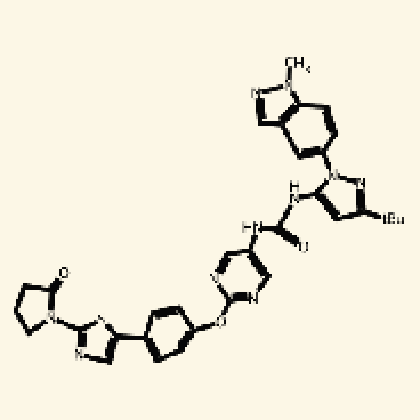 Cn1ncc2cc(-n3nc(C(C)(C)C)cc3NC(=O)Nc3cnc(Oc4ccc(-c5cnc(N6CCCC6=O)s5)cc4)nc3)ccc21